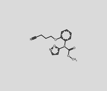 COC(=O)N(c1ccno1)c1ccccc1OCCCC#N